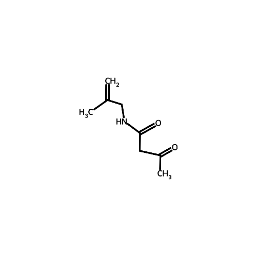 C=C(C)CNC(=O)CC(C)=O